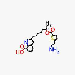 CC(CCCCCc1cnc2c(C(=O)O)cccc2c1)OC(=O)c1ccc(CCN)s1